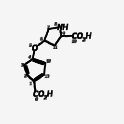 O=C(O)c1ccc(OC2CNC(C(=O)O)C2)cc1